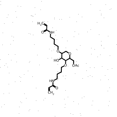 C=CC(=O)NCCCCOC1COC(COC(C)=O)C(OCCCCNC(=O)C=C)C1O